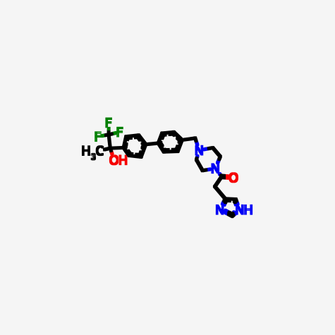 CC(O)(c1ccc(-c2ccc(CN3CCN(C(=O)Cc4c[nH]cn4)CC3)cc2)cc1)C(F)(F)F